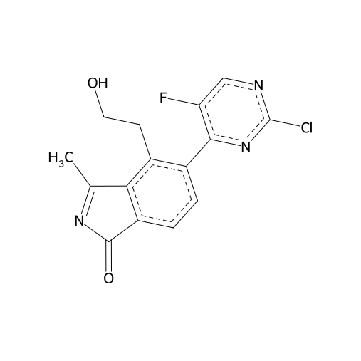 CC1=NC(=O)c2ccc(-c3nc(Cl)ncc3F)c(CCO)c21